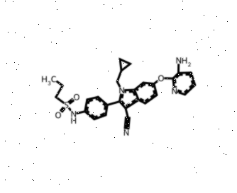 CCCS(=O)(=O)Nc1ccc(-c2c(C#N)c3ccc(Oc4ncccc4N)cc3n2CC2CC2)cc1